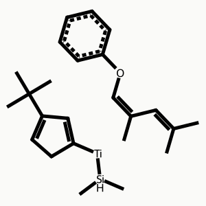 CC(C)=CC(C)=COc1ccccc1.C[SiH](C)[Ti][C]1=CC(C(C)(C)C)=CC1